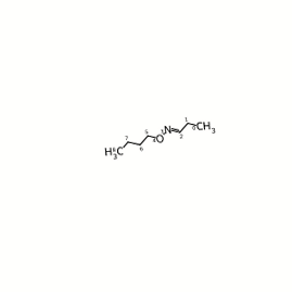 CC/C=N/OCCCC